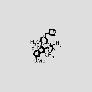 COc1cc(F)c2nc(N3CCN(CC4CCOCC4)C[C@H]3C)c(-c3nc(C)no3)c(C)c2c1